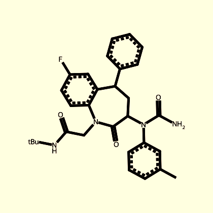 Cc1cccc(N(C(N)=O)C2CC(c3ccccc3)c3cc(F)ccc3N(CC(=O)NC(C)(C)C)C2=O)c1